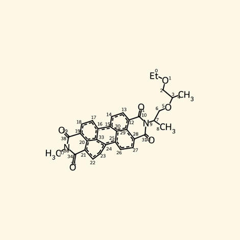 CCOCC(C)OCC(C)N1C(=O)c2ccc3c4ccc5c6c(ccc(c7ccc(c2c37)C1=O)c64)C(=O)N(C)C5=O